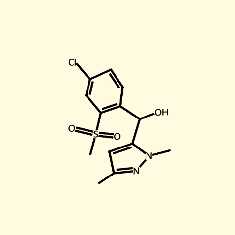 Cc1cc(C(O)c2ccc(Cl)cc2S(C)(=O)=O)n(C)n1